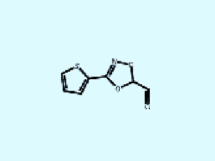 O=CC1ON=C(c2cccs2)O1